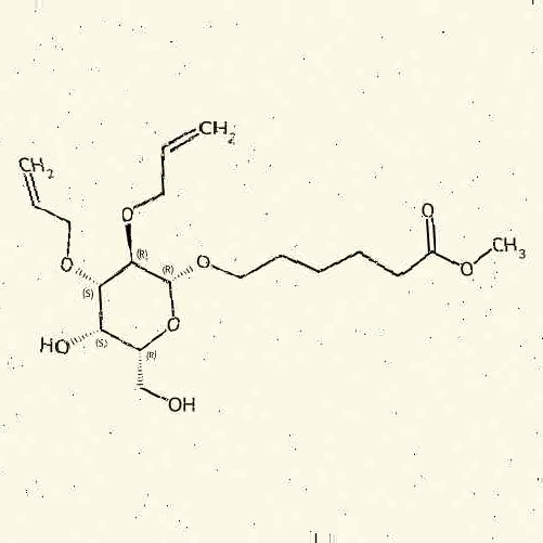 C=CCO[C@H]1[C@H](OCCCCCC(=O)OC)O[C@H](CO)[C@H](O)[C@@H]1OCC=C